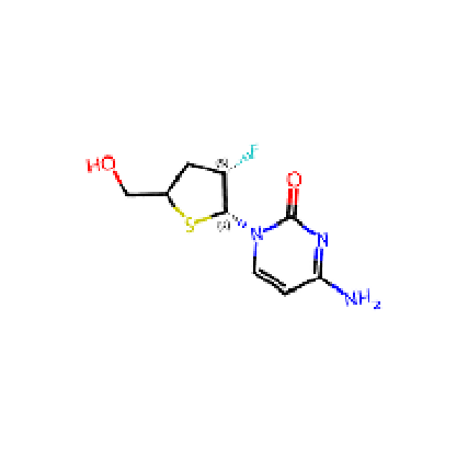 Nc1ccn([C@@H]2SC(CO)C[C@@H]2F)c(=O)n1